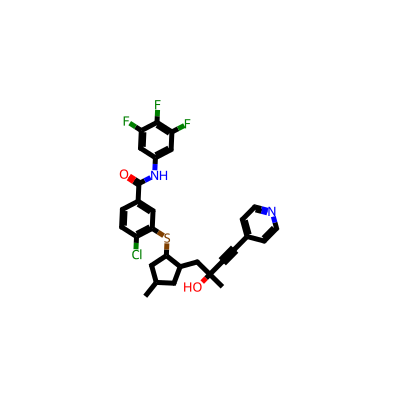 CC1CC(CC(C)(O)C#Cc2ccncc2)C(Sc2cc(C(=O)Nc3cc(F)c(F)c(F)c3)ccc2Cl)C1